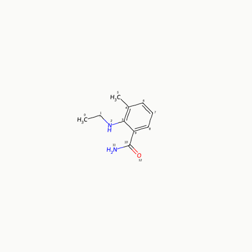 C[CH]Nc1c(C)cccc1C(N)=O